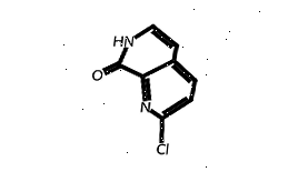 O=c1[nH]ccc2ccc(Cl)nc12